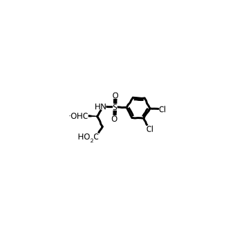 O=[C][C@H](CC(=O)O)NS(=O)(=O)c1ccc(Cl)c(Cl)c1